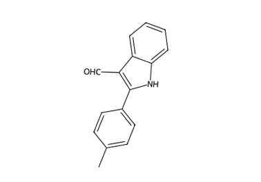 Cc1ccc(-c2[nH]c3ccccc3c2C=O)cc1